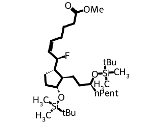 CCCCC[C@@H](CC[C@@H]1[C@@H]([C@H](F)/C=C\CCCC(=O)OC)CC[C@H]1O[Si](C)(C)C(C)(C)C)O[Si](C)(C)C(C)(C)C